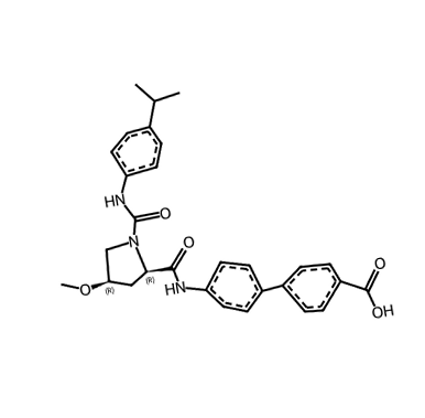 CO[C@@H]1C[C@H](C(=O)Nc2ccc(-c3ccc(C(=O)O)cc3)cc2)N(C(=O)Nc2ccc(C(C)C)cc2)C1